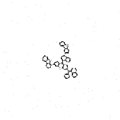 c1ccc(N(c2ccc3c(c2)Oc2cc(-c4cccc5c4oc4ccccc45)ccc2N3c2ccc(-c3ccc4sc5ccccc5c4c3)c3ccccc23)c2cccc3ccccc23)cc1